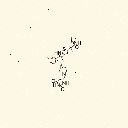 Cc1cc(C)cc(-c2[nH]c3sc(C(C)(C)C(=O)C4C5CCC4NC5)cc3c2CCN2CCN(Cc3cc(=O)[nH]c(=O)[nH]3)CC2)c1